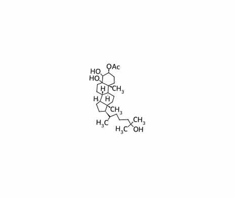 CC(=O)O[C@H]1CC[C@]2(C)[C@H]3CC[C@]4(C)[C@@H](C(C)CCCC(C)(C)O)CC[C@H]4[C@@H]3CCC2(O)C1O